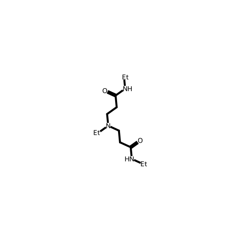 CCNC(=O)CCN(CC)CCC(=O)NCC